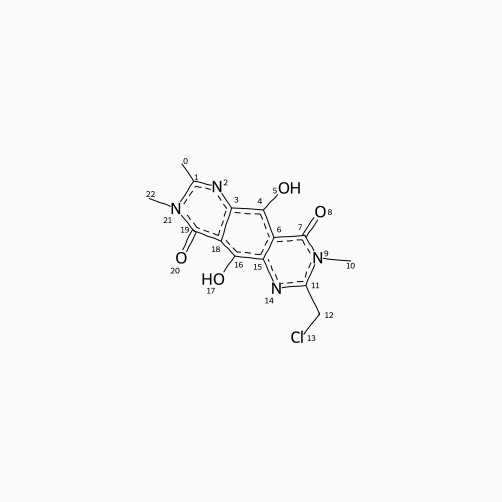 Cc1nc2c(O)c3c(=O)n(C)c(CCl)nc3c(O)c2c(=O)n1C